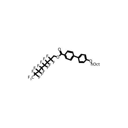 CCCCCCCCOc1ccc(-c2ccc(C(=O)OCC(F)(F)C(F)(F)C(F)(F)C(F)(F)C(F)(F)C(F)(F)C(F)(F)F)cc2)cc1